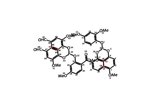 COc1ccc(OP(Oc2ccc(OC)cc2OC)Oc2ccccc2C(=O)c2ccc(OC)cc2OP(Oc2ccc(C=O)cc2OC)Oc2ccc(C=O)cc2OC)c(OC)c1